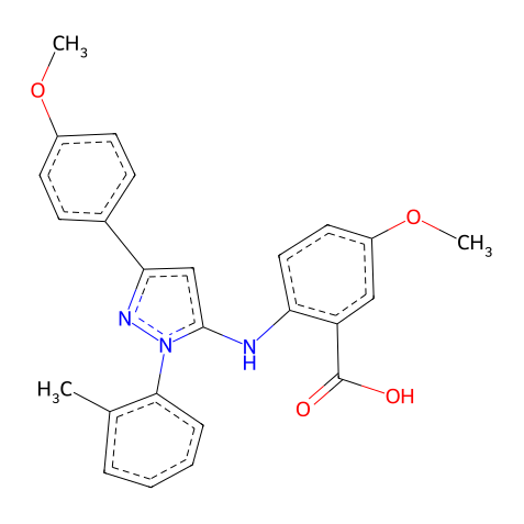 COc1ccc(-c2cc(Nc3ccc(OC)cc3C(=O)O)n(-c3ccccc3C)n2)cc1